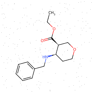 CCOC(=O)[C@H]1COCC[C@H]1NCc1ccccc1